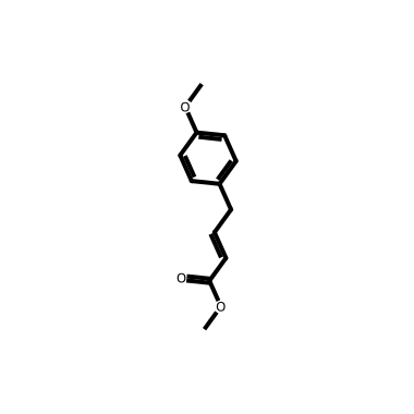 COC(=O)C=CCc1ccc(OC)cc1